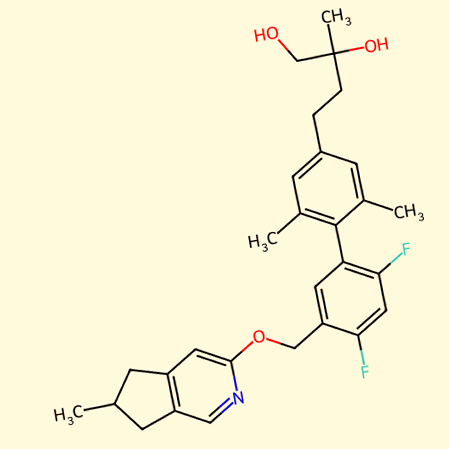 Cc1cc(CCC(C)(O)CO)cc(C)c1-c1cc(COc2cc3c(cn2)CC(C)C3)c(F)cc1F